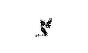 COC(=O)c1ccc([C@H]2C[C@@H](NC(=O)C3(c4ccc5c(c4)OC(F)(F)O5)CC3)c3ccc(OC(F)F)cc3O2)cc1